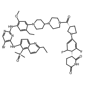 CCc1ccc2c(P(C)(C)=O)c(Nc3nc(Nc4cc(CC)c(N5CCC(N6CCN(C(=O)[C@@H]7CCN(C8=CC(F)C([C@H]9CCC(=O)NC9=O)C(F)=C8)C7)CC6)CC5)cc4OC)ncc3Br)ccc2n1